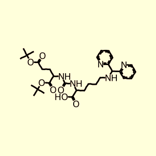 CC(C)(C)OC(=O)CCC(NC(=O)NC(CCCCNC(c1ccccn1)c1ccccn1)C(=O)O)C(=O)OC(C)(C)C